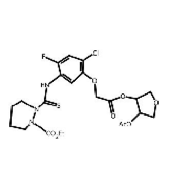 CCOC(=O)N1CCCCN1C(=S)Nc1cc(OCC(=O)OC2COCC2OC(C)=O)c(Cl)cc1F